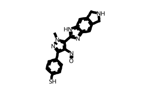 Cn1nc(-c2ccc(S)cc2)c(N=O)c1-c1nc2cc3c(cc2[nH]1)CNC3